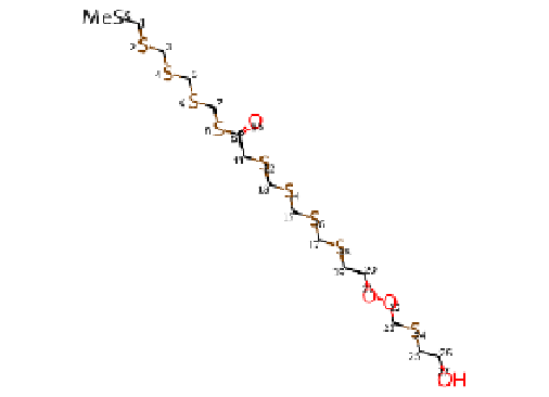 CSCSCSCSCSC(=O)CSCSCSCSCCOOCSCCO